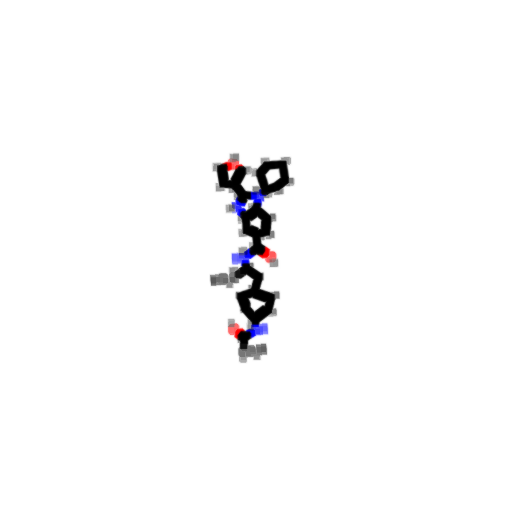 O=C(O)C(=O)Nc1ccc(CC(NC(=O)c2ccc3c(c2)nc(-c2ccoc2)n3C2CCCCC2)C(=O)O)cc1